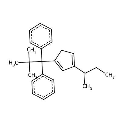 CCC(C)C1=CCC(C(c2ccccc2)(c2ccccc2)C(C)(C)C)=C1